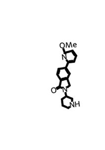 COc1cccc(-c2ccc3c(c2)CN(C2CCCNC2)C3=O)n1